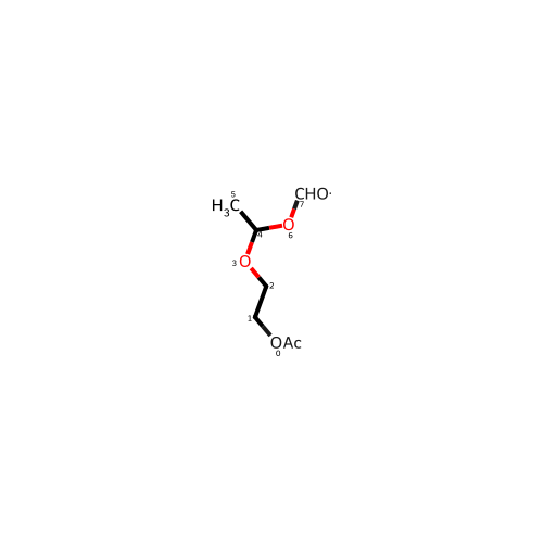 CC(=O)OCCOC(C)O[C]=O